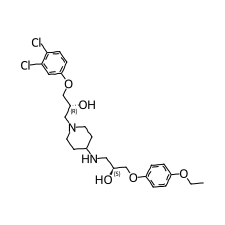 CCOc1ccc(OC[C@@H](O)CNC2CCN(C[C@@H](O)COc3ccc(Cl)c(Cl)c3)CC2)cc1